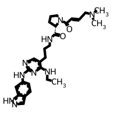 CCNc1nc(Nc2ccc3cn[nH]c3c2)ncc1CCCNC(=O)[C@@H]1CCCN1C(=O)/C=C/CN(C)C